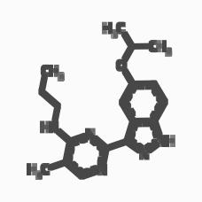 CCCNc1nc(-c2n[nH]c3ccc(OC(C)C)cc23)ncc1C